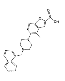 Cc1c(N2CCN(Cc3cccc4ccccc34)CC2)ccc2oc(C(=O)O)cc12